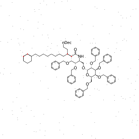 CCCCCCCCCCCCCC[C@@H](OCc1ccccc1)[C@@H](OCc1ccccc1)[C@H](CO[C@H]1O[C@H](COCc2ccccc2)[C@H](OCc2ccccc2)[C@H](OCc2ccccc2)[C@H]1OCc1ccccc1)NC(=O)CCCCCCCCCCC12CCC(CC1)CC2